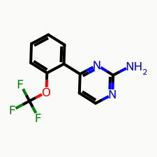 Nc1nccc(-c2ccccc2OC(F)(F)F)n1